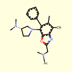 CC(=O)N(C)Cc1nc2c(C#N)c(C)c(-c3ccccc3)c(N3CC[C@H](N(C)C)C3)c2o1